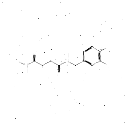 NNC(=O)CCC(=O)NCc1ccc(Cl)c(C(F)(F)F)c1